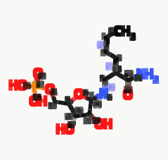 C\C=C/C=C(\C=N\[C@@H]1OC(COP(=O)(O)O)[C@@H](O)C1O)C(N)=O